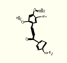 CCCCOc1cc(OCCCC)c(CCC)cc1C=CC(=O)c1ccc(N)cc1